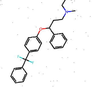 CCOC(=O)CN(C)CCC(Oc1ccc(C(F)(F)c2ccccc2)cc1)c1ccccc1